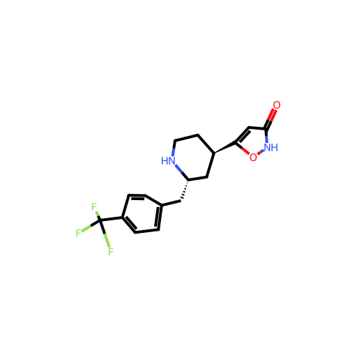 O=c1cc([C@@H]2CCN[C@@H](Cc3ccc(C(F)(F)F)cc3)C2)o[nH]1